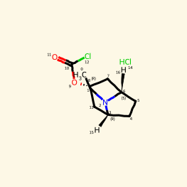 CCN1[C@@H]2CC[C@H]1C[C@@H](OC(=O)Cl)C2.Cl